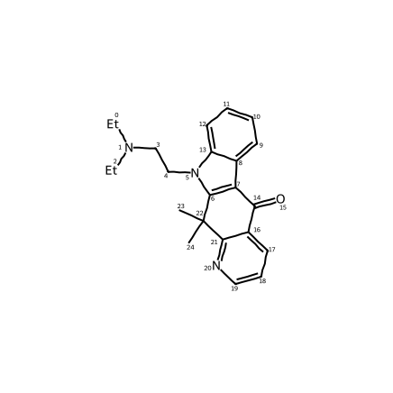 CCN(CC)CCn1c2c(c3ccccc31)C(=O)c1cccnc1C2(C)C